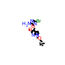 COc1cnc2c(ccn2COCC[Si](C)(C)C)c1COc1nc(Br)cnc1N